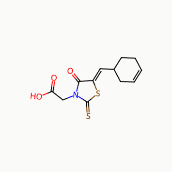 O=C(O)CN1C(=O)/C(=C/C2CC=CCC2)SC1=S